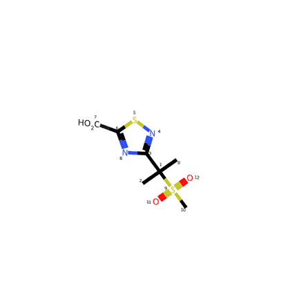 CC(C)(c1nsc(C(=O)O)n1)S(C)(=O)=O